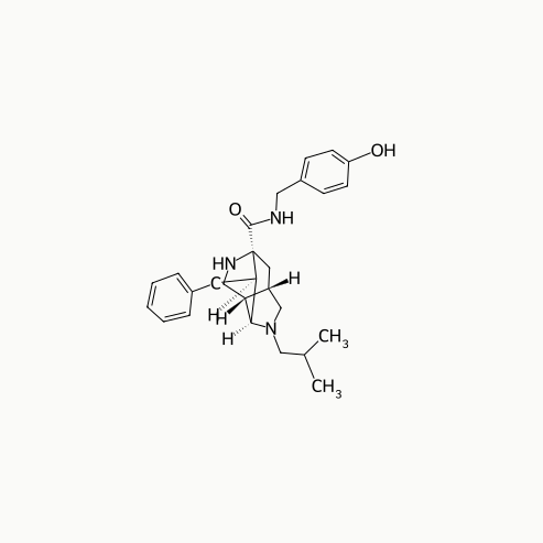 CC(C)CN1C[C@H]2C[C@]3(C(=O)NCc4ccc(O)cc4)NC[C@H]2[C@H]1[C@H]3Cc1ccccc1